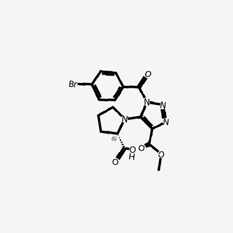 COC(=O)c1nnn(C(=O)c2ccc(Br)cc2)c1N1CCC[C@H]1C(=O)O